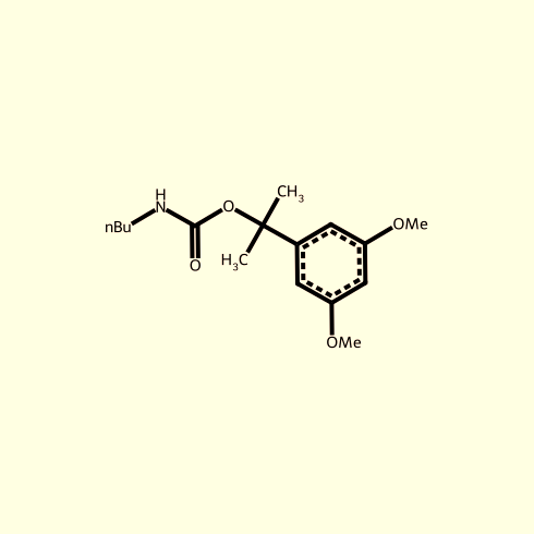 CCCCNC(=O)OC(C)(C)c1cc(OC)cc(OC)c1